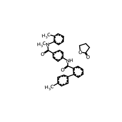 Cc1ccc(-c2ccccc2C(=O)Nc2ccc(C(=O)N(C)c3ccccc3C)cc2)cc1.O=C1CCCO1